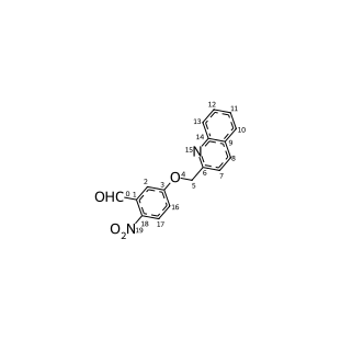 O=Cc1cc(OCc2ccc3ccccc3n2)ccc1[N+](=O)[O-]